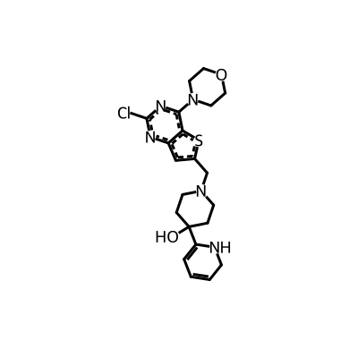 OC1(C2=CC=CCN2)CCN(Cc2cc3nc(Cl)nc(N4CCOCC4)c3s2)CC1